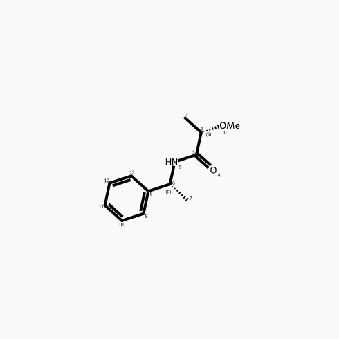 CO[C@@H](C)C(=O)N[C@H](C)c1ccccc1